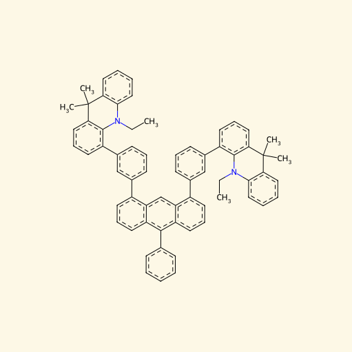 CCN1c2ccccc2C(C)(C)c2cccc(-c3cccc(-c4cccc5c(-c6ccccc6)c6cccc(-c7cccc(-c8cccc9c8N(CC)c8ccccc8C9(C)C)c7)c6cc45)c3)c21